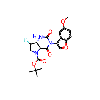 COc1ccc2occ(N(C(N)=O)C(=O)C3CC(F)CN3C(=O)OC(C)(C)C)c2c1